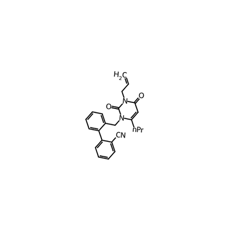 C=CCn1c(=O)cc(CCC)n(Cc2ccccc2-c2ccccc2C#N)c1=O